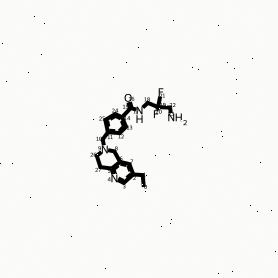 CCc1cnc2c(c1)CN(Cc1ccc(C(=O)NCC(F)(F)CN)cc1)CC2